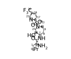 CC(C)C[C@H](N)C(=O)N[C@H]1CC[C@@H](C)N(S(=O)(=O)c2ccc(C(F)(F)F)cn2)C[C@@H]1O